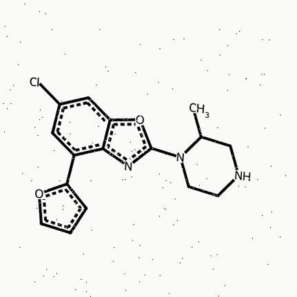 CC1CNCCN1c1nc2c(-c3ccco3)cc(Cl)cc2o1